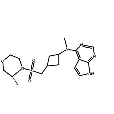 C[C@@H]1COCCN1S(=O)(=O)CC1CC(N(C)c2ncnc3[nH]ccc23)C1